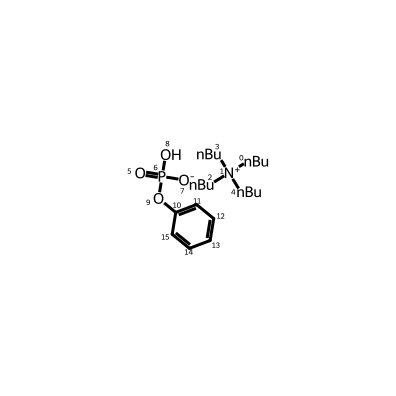 CCCC[N+](CCCC)(CCCC)CCCC.O=P([O-])(O)Oc1ccccc1